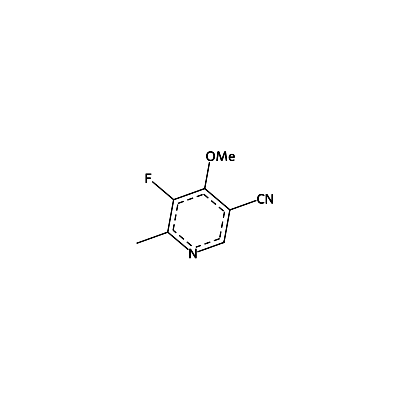 COc1c(C#N)cnc(C)c1F